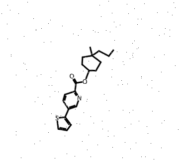 CCCC1(C)CCC(OC(=O)c2ccc(-c3cccs3)cn2)CC1